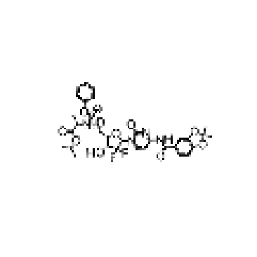 CC(C)OC(=O)[C@@H](C)NP(=O)(OC[C@H]1OC(n2ccc(NC(=O)c3ccc4c(c3)OC(C)(C)O4)nc2=O)C(F)(F)[C@@H]1O)Oc1ccccc1